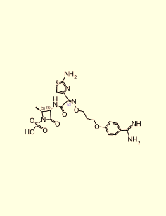 C[C@H]1[C@H](NC(=O)/C(=N\OCCCOc2ccc(C(=N)N)cc2)c2csc(N)n2)C(=O)N1S(=O)(=O)O